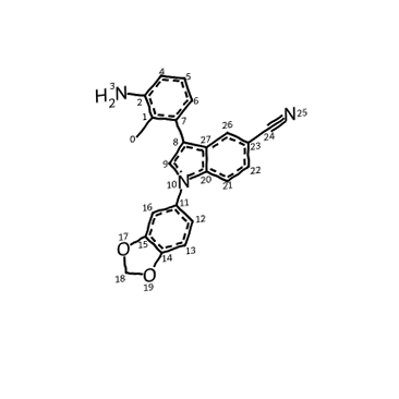 Cc1c(N)cccc1-c1cn(-c2ccc3c(c2)OCO3)c2ccc(C#N)cc12